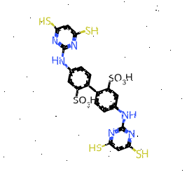 O=S(=O)(O)c1cc(Nc2nc(S)cc(S)n2)ccc1-c1ccc(Nc2nc(S)cc(S)n2)cc1S(=O)(=O)O